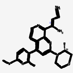 CSc1ccc(-c2cc(N3CCOC[C@H]3C)nc3c(/C(N)=C/C=N)nccc23)c(C)n1